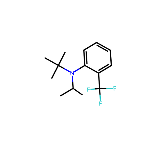 CC(C)N(c1ccccc1C(F)(F)F)C(C)(C)C